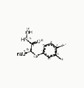 CCCC[C@H](Sc1ccc(F)c(C)c1)C(=O)NO